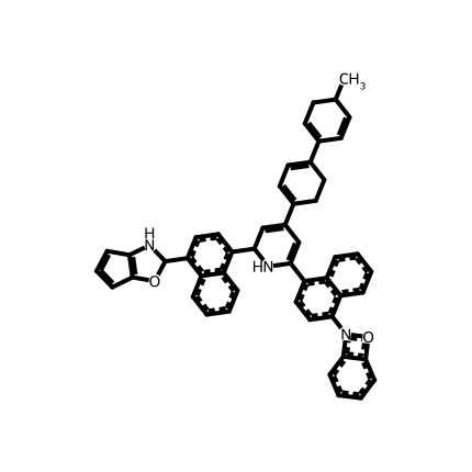 CC1C=CC(C2=CC=C(C3=CC(c4ccc(C5NC6=C(C=C=C6)O5)c5ccccc45)NC(c4ccc(-n5oc6ccccc65)c5ccccc45)=C3)CC2)=CC1